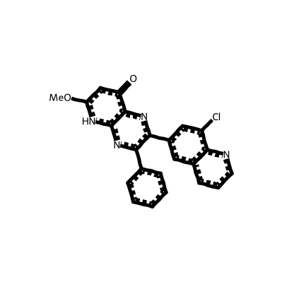 COc1cc(=O)c2nc(-c3cc(Cl)c4ncccc4c3)c(-c3ccccc3)nc2[nH]1